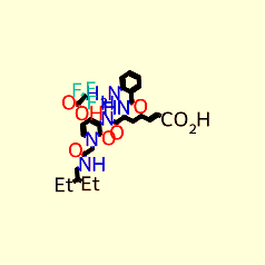 CCC(CC)CNC(=O)Cn1cccc(NC(=O)C(CCC=CC(=O)O)NC(=O)c2ccccc2N)c1=O.O=C(O)C(F)(F)F